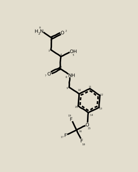 NC(=O)CC(O)C(=O)NCc1cccc(OC(F)(F)F)c1